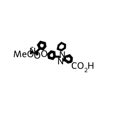 CON(C)C(=O)c1ccccc1Oc1ccc(-c2nc3cc(C(=O)O)ccc3n2C2CCCCC2)cc1